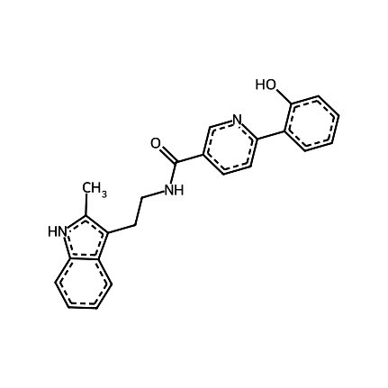 Cc1[nH]c2ccccc2c1CCNC(=O)c1ccc(-c2ccccc2O)nc1